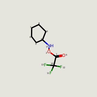 O=C(ONC1CCCCC1)C(F)(F)F